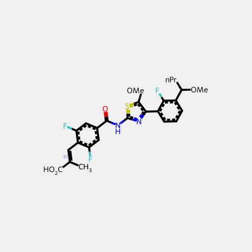 CCCC(OC)c1cccc(-c2nc(NC(=O)c3cc(F)c(/C=C(\C)C(=O)O)c(F)c3)sc2OC)c1F